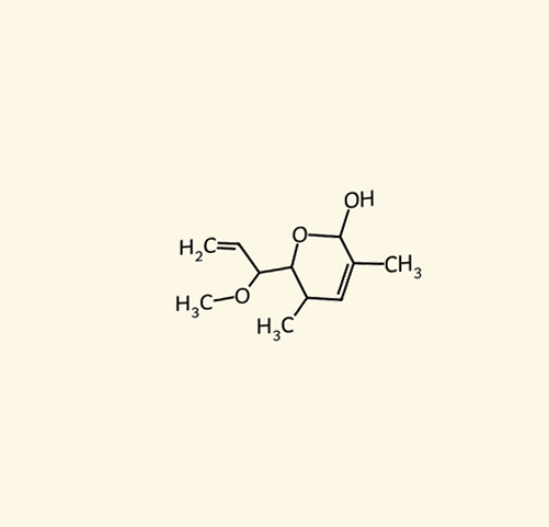 C=CC(OC)C1OC(O)C(C)=CC1C